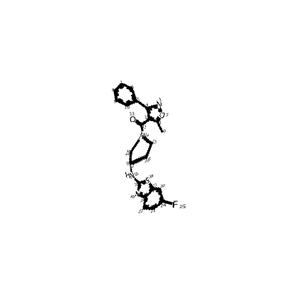 Cc1onc(-c2ccccc2)c1C(=O)N1CC[C@@H](Nc2nc3ccc(F)cc3s2)C1